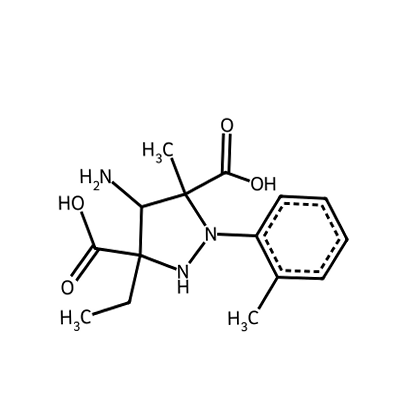 CCC1(C(=O)O)NN(c2ccccc2C)C(C)(C(=O)O)C1N